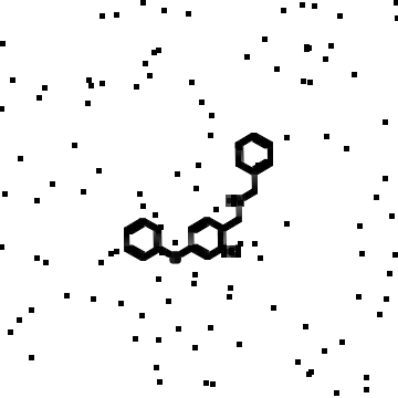 Cl.c1ccc(CNCc2ccc(Oc3ccccc3)cc2)cc1